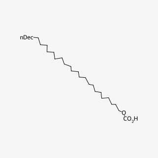 CCCCCCCCCCCCCCCCCCCCCCCCCCCCCCCCOC(=O)O